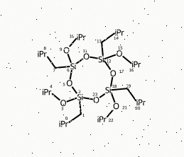 CC(C)C[Si]1(OC(C)C)O[Si](CC(C)C)(OC(C)C)O[Si](CC(C)C)(OC(C)C)O[Si](CC(C)C)(OC(C)C)O1